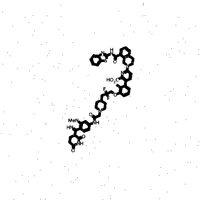 CNc1cc(NC(=O)CN2CCC(CC(F)(F)COc3cccc(-c4ccc(N5CCc6cccc(C(=O)Nc7nc8ccccc8s7)c6C5)nc4C(=O)O)c3C)CC2)ccc1C(=N)C1CCC(=O)NC1=O